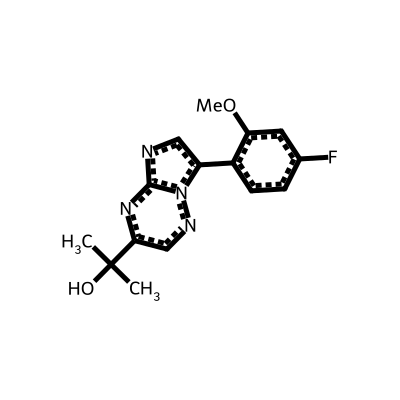 COc1cc(F)ccc1-c1cnc2nc(C(C)(C)O)cnn12